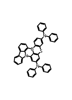 c1ccc(N(c2ccccc2)c2ccc3c(c2)Sc2cc(N(c4ccccc4)c4ccccc4)cc4c2B3c2cccc3c5ccccc5n-4c23)cc1